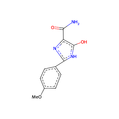 COc1ccc(-c2nc(C(N)=O)c(O)[nH]2)cc1